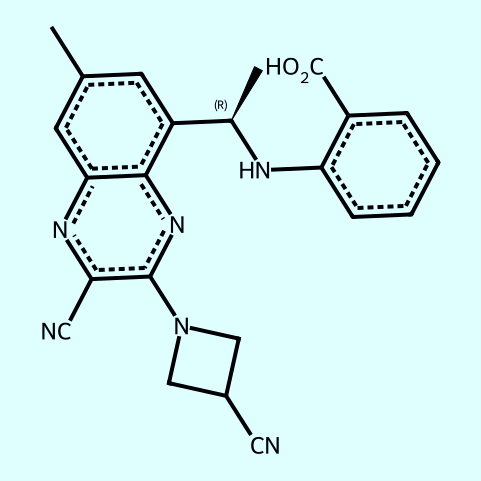 Cc1cc([C@@H](C)Nc2ccccc2C(=O)O)c2nc(N3CC(C#N)C3)c(C#N)nc2c1